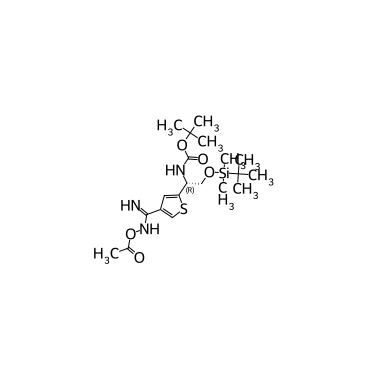 CC(=O)ONC(=N)c1csc([C@@H](CO[Si](C)(C)C(C)(C)C)NC(=O)OC(C)(C)C)c1